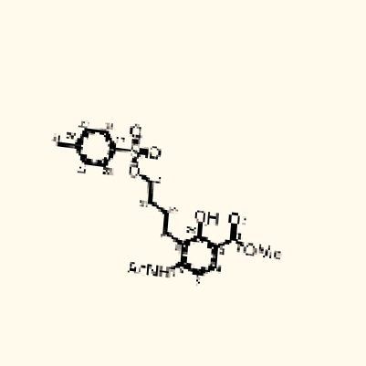 COC(=O)c1ccc(NC(C)=O)c(CCCCOS(=O)(=O)c2ccc(C)cc2)c1O